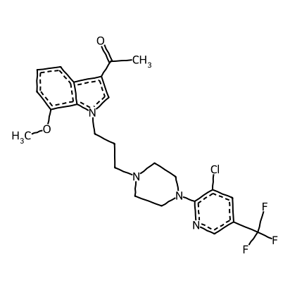 COc1cccc2c(C(C)=O)cn(CCCN3CCN(c4ncc(C(F)(F)F)cc4Cl)CC3)c12